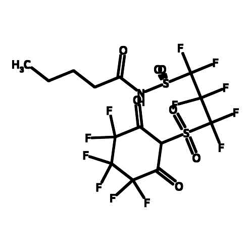 CCCCC(=O)NS(=O)(=O)C(F)(F)C(F)(F)C(F)(F)S(=O)(=O)C1C(=O)C(F)(F)C(F)(F)C(F)(F)C1=O